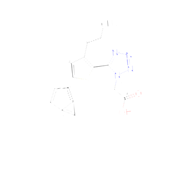 CCCc1ccsc1-c1nnnn1CC(=O)O.c1cc2cc-2c1